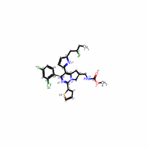 CCC(F)CC1C=CC(C2=C3CC(CNC(=O)OC)CN3C(C3CC=CS3)=N[C@H]2c2ccc(F)cc2Cl)=N1